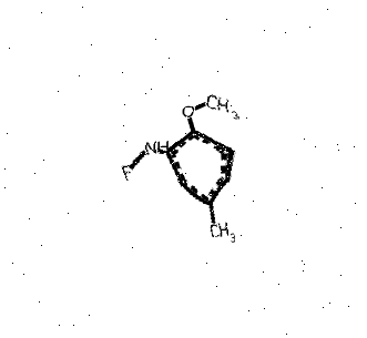 COc1ccc(C)cc1NF